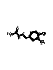 NC(=O)NN=Cc1ccc(O)c([N+](=O)[O-])c1